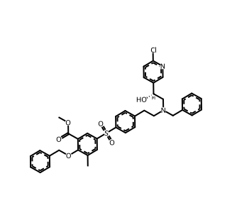 COC(=O)c1cc(S(=O)(=O)c2ccc(CCN(Cc3ccccc3)C[C@H](O)c3ccc(Cl)nc3)cc2)cc(C)c1OCc1ccccc1